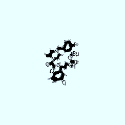 CC1CN(Cc2ccc(F)cc2)CCN1C(=O)COc1ccc(Cl)cc1C(=O)CCNC(=O)OC(C)(C)C